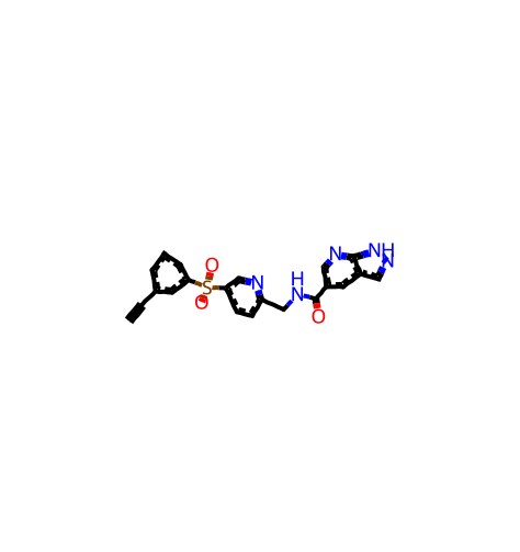 C#Cc1cccc(S(=O)(=O)c2ccc(CNC(=O)c3cnc4[nH]ncc4c3)nc2)c1